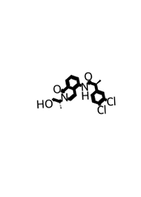 C[C@H](C(=O)Nc1cccc2c(=O)n([C@H](C)CO)ccc12)c1ccc(Cl)c(Cl)c1